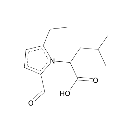 CCc1ccc(C=O)n1C(CC(C)C)C(=O)O